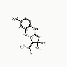 O=[N+]([O-])c1ccc(NC2=NC(C(F)(F)F)(C(F)(F)F)C(=C(F)C(F)(F)F)S2)c(C(F)(F)F)c1